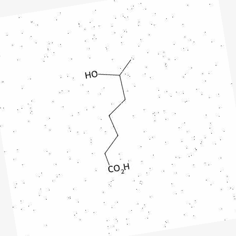 [CH2]C(O)CCCCC(=O)O